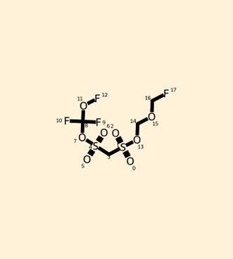 O=S(=O)(CS(=O)(=O)OC(F)(F)OF)OCOCF